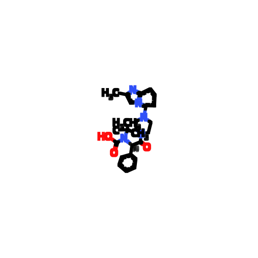 Cc1cn2c(N3CCN(C(=O)[C@@H](c4ccccc4)N(C(=O)O)C(C)(C)C)CC3)cccc2n1